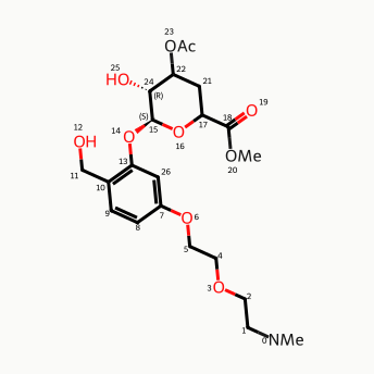 CNCCOCCOc1ccc(CO)c(O[C@@H]2OC(C(=O)OC)CC(OC(C)=O)[C@H]2O)c1